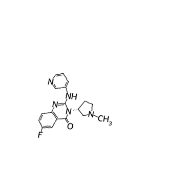 CN1CC[C@@H](n2c(Nc3cccnc3)nc3ccc(F)cc3c2=O)C1